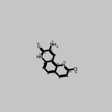 Nc1cc2c(ccc3ccc(Cl)nc32)[nH]c1=O